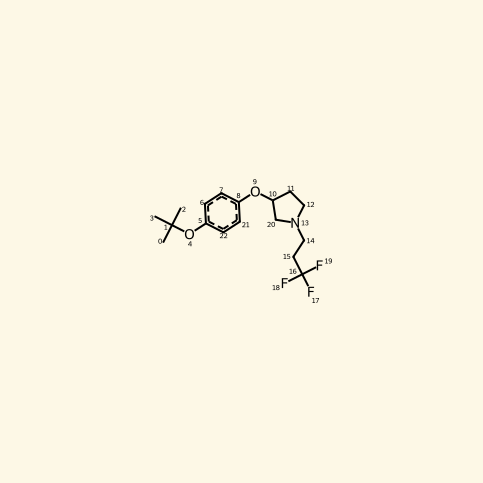 CC(C)(C)Oc1ccc(OC2CCN(CCC(F)(F)F)C2)cc1